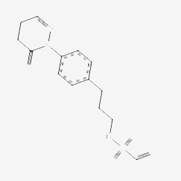 C=CS(=O)(=O)NCCCc1ccc(N2N=CCCC2=O)cc1